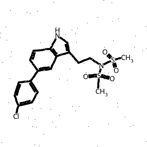 CS(=O)(=O)N(CCc1c[nH]c2ccc(-c3ccc(Cl)cc3)cc12)S(C)(=O)=O